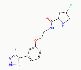 Cc1n[nH]cc1-c1c[c]cc(OCCNC(=O)C2CC(F)CN2)c1